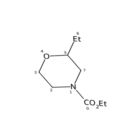 CCOC(=O)N1CCOC(CC)C1